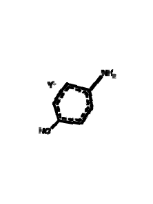 Nc1ccc(O)cc1.[Y]